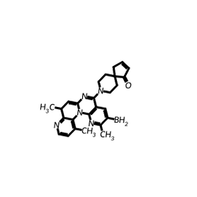 Bc1cc2c(nc1C)N1C(=CC(C)c3nccc(C)c31)N=C2N1CCC2(CC=CC2=O)CC1